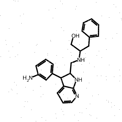 Nc1cccc(C2c3cccnc3NC2CNC(CO)Cc2ccccc2)c1